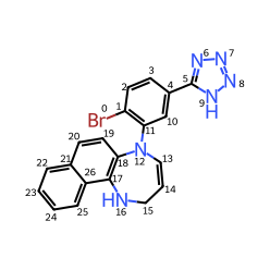 Brc1ccc(-c2nnn[nH]2)cc1N1C=CCNc2c1ccc1ccccc21